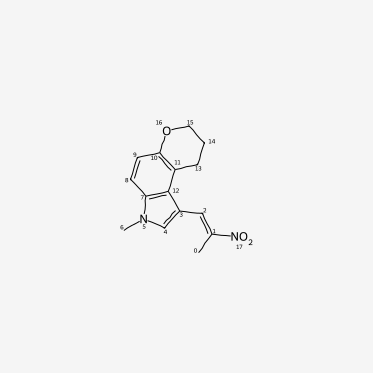 CC(=Cc1cn(C)c2ccc3c(c12)CCCO3)[N+](=O)[O-]